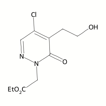 CCOC(=O)Cn1ncc(Cl)c(CCO)c1=O